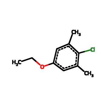 CCOc1cc(C)c(Cl)c(C)c1